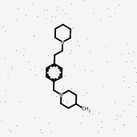 CC1CCN(Cc2ccc(CCN3CCCCC3)cc2)CC1